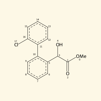 COC(=O)C(O)c1ccccc1-c1ccccc1Cl